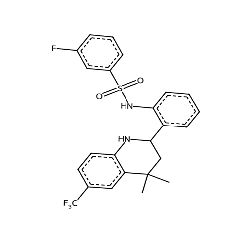 CC1(C)CC(c2ccccc2NS(=O)(=O)c2cccc(F)c2)Nc2ccc(C(F)(F)F)cc21